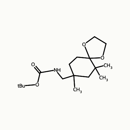 CC1(CNC(=O)OC(C)(C)C)CCC2(OCCO2)C(C)(C)C1